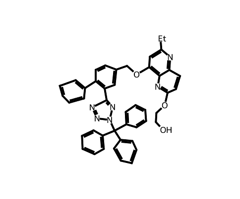 CCc1cc(OCc2ccc(-c3ccccc3)c(-c3nnn(C(c4ccccc4)(c4ccccc4)c4ccccc4)n3)c2)c2nc(OCCO)ccc2n1